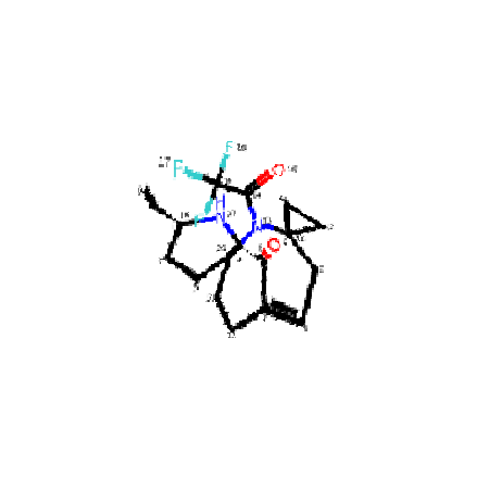 C[C@@H]1CC[C@@H](C(=O)/C2=C\CC3(CC3)N(C(=O)C(F)(F)F)CCC2)N1